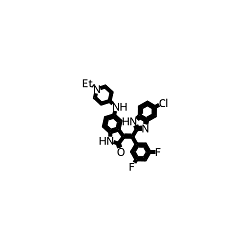 CCN1CCC(Nc2ccc3c(c2)C(=C(c2cc(F)cc(F)c2)c2nc4cc(Cl)ccc4[nH]2)C(=O)N3)CC1